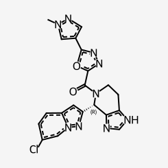 Cn1cc(-c2nnc(C(=O)N3CCc4[nH]cnc4[C@@H]3c3cc4ccc(Cl)cn4n3)o2)cn1